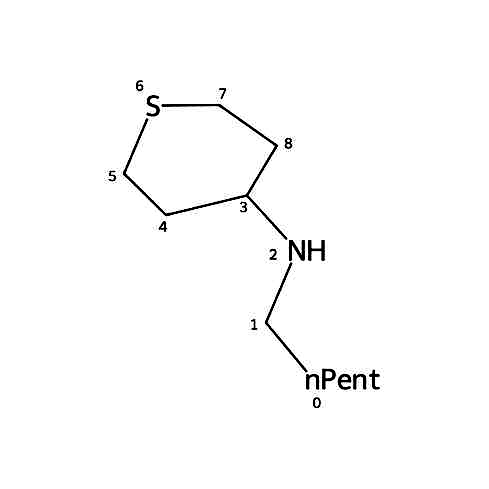 CCCCCCNC1CCSCC1